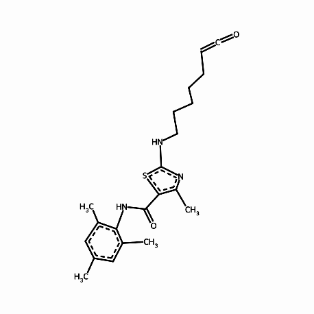 Cc1cc(C)c(NC(=O)c2sc(NCCCCCC=C=O)nc2C)c(C)c1